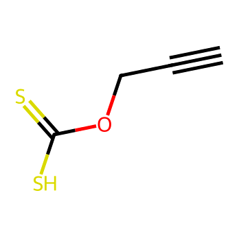 C#CCOC(=S)S